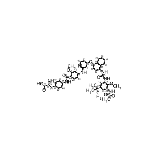 COc1cc(Nc2cc(Oc3ccc(NC(=O)Nc4cc(C(C)(C)C)cc(NS(C)(=O)=O)c4OC)c4ccccc34)ccn2)ccc1C(=O)Nc1ccc(C[C@@H](N)C(=O)O)cc1